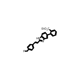 CCOC(=O)c1ccccc1-c1ccc2[nH]c(/C=C/c3ccc(CF)cc3)nc2c1